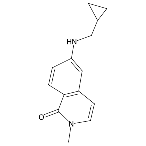 Cn1ccc2cc(NCC3CC3)ccc2c1=O